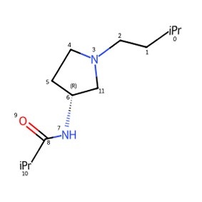 CC(C)CCN1CC[C@@H](NC(=O)C(C)C)C1